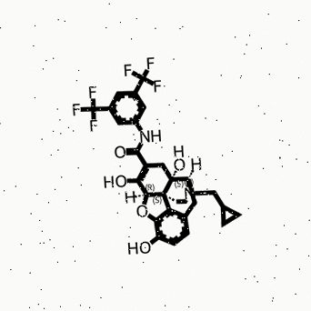 O=C(Nc1cc(C(F)(F)F)cc(C(F)(F)F)c1)C1=C(O)[C@@H]2Oc3c(O)ccc4c3[C@@]23CCN(CC2CC2)[C@H](C4)[C@]3(O)C1